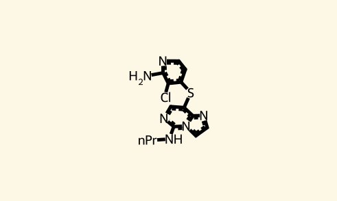 CCCNc1ncc(Sc2ccnc(N)c2Cl)c2nccn12